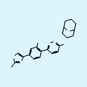 Cc1nc(-c2ccc(-c3ccc(O[C@H]4CC5CCCC(N5)[C@H]4F)nn3)c(O)c2)cs1